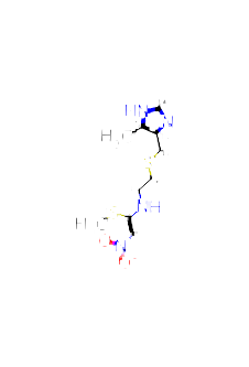 CSC(=C[N+](=O)[O-])NCCSCc1nc[nH]c1C